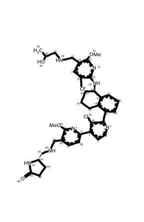 COc1nc(-c2ccnc(-c3cccc4c3CCC[C@H]4Nc3nc(OC)c(CNCC(C)O)cc3C(F)(F)F)c2Cl)ccc1CNC[C@@H]1CCC(=O)N1